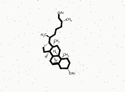 CC(=O)OC[C@H](C)CCC[C@H](C)[C@H]1CC[C@@H]2[C@@H]3CC=C4C[C@@H](OC(C)=O)CC[C@]4(C)[C@@H]3CC[C@@]21C